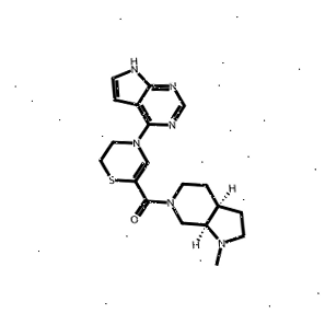 CN1CC[C@@H]2CCN(C(=O)C3=CN(c4ncnc5[nH]ccc45)CCS3)C[C@@H]21